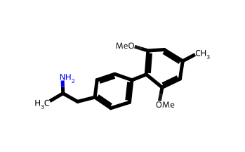 COc1cc(C)cc(OC)c1-c1ccc(CC(C)N)cc1